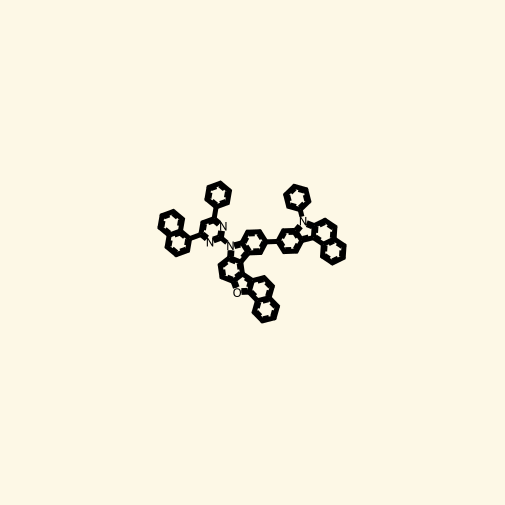 c1ccc(-c2cc(-c3cccc4ccccc34)nc(-n3c4ccc(-c5ccc6c7c8ccccc8ccc7n(-c7ccccc7)c6c5)cc4c4c5c(ccc43)oc3c4ccccc4ccc35)n2)cc1